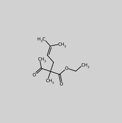 CCOC(=O)C(C)(CC=C(C)C)C(C)=O